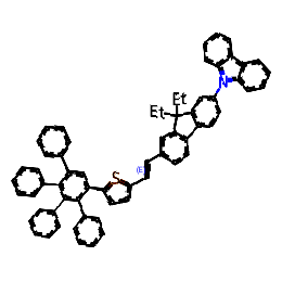 CCC1(CC)c2cc(/C=C/c3ccc(-c4cc(-c5ccccc5)c(-c5ccccc5)c(-c5ccccc5)c4-c4ccccc4)s3)ccc2-c2ccc(-n3c4ccccc4c4ccccc43)cc21